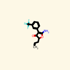 C=CCC1OC(N)=C(c2cccc(C(F)(F)F)c2)C1=O